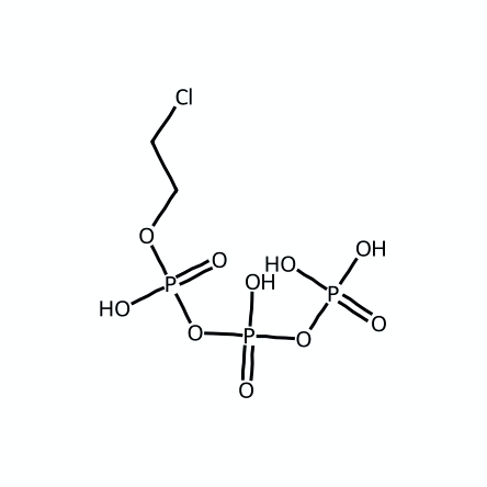 O=P(O)(O)OP(=O)(O)OP(=O)(O)OCCCl